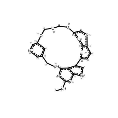 CNc1nc2c3c(c[nH]c3n1)-c1ccc3ncc(cc3c1)OCCCOc1cncc(c1)CN2